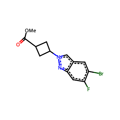 COC(=O)C1CC(n2cc3cc(Br)c(F)cc3n2)C1